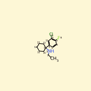 CCNC1(c2ccc(F)c(Cl)c2)C[CH]CCC1